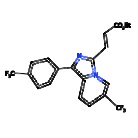 CCOC(=O)/C=C/c1nc(-c2ccc(C(F)(F)F)cc2)c2ccc(C(F)(F)F)cn12